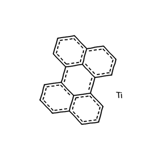 [Ti].c1cc2cccc3c4cccc5cccc(c(c1)c23)c54